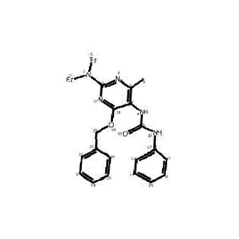 CCN(CC)c1nc(C)c(NC(=O)Nc2ccccc2)c(OCc2ccccc2)n1